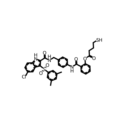 Cc1cc(C)cc(S(=O)(=O)c2c(C(=O)NCc3ccc(NC(=O)c4ccccc4OC(=O)CCCS)cc3)[nH]c3ccc(Cl)cc23)c1